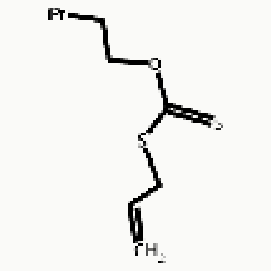 C=CCSC(=S)OCCC(C)C